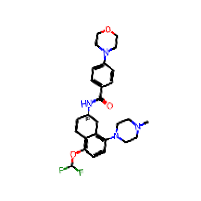 CN1CCN(c2ccc(OC(F)F)c3c2C[C@H](NC(=O)c2ccc(N4CCOCC4)cc2)CC3)CC1